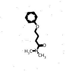 CN(C)C(=O)CCCOc1cc[c]cc1